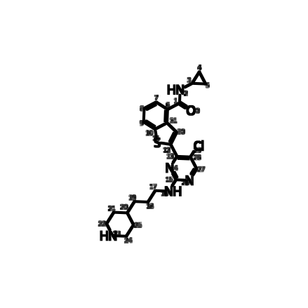 O=C(NC1CC1)c1cccc2sc(-c3nc(NCCCC4CCNCC4)ncc3Cl)cc12